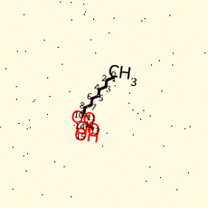 CCCCCCCCCC(=O)OC(=O)OO